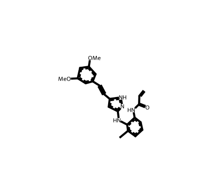 C=CC(=O)Nc1cccc(C)c1Nc1cc(C#Cc2cc(OC)cc(OC)c2)[nH]n1